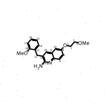 COCCOc1ccc2nc(N)c(Cc3ccccc3OC)cc2c1